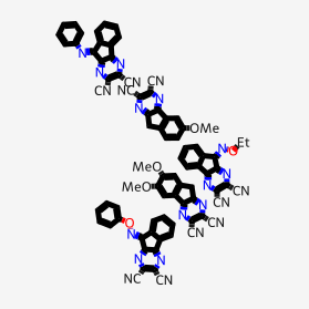 CCON=C1c2ccccc2-c2nc(C#N)c(C#N)nc21.COc1cc2c(cc1OC)-c1nc(C#N)c(C#N)nc1C2.COc1ccc2c(c1)-c1nc(C#N)c(C#N)nc1C2.N#Cc1nc2c(nc1C#N)-c1ccccc1C2=NOc1ccccc1.N#Cc1nc2c(nc1C#N)-c1ccccc1C2=Nc1ccccc1